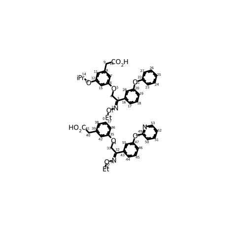 CCO/N=C(\COc1cc(CC(=O)O)cc(OC(C)C)c1)c1cccc(Oc2ccccc2)c1.CCO/N=C(\COc1cccc(CC(=O)O)c1)c1cccc(Oc2ccccn2)c1